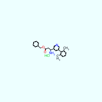 Cc1cccc(C)c1-c1cncc(C(N)CC(=O)OCc2ccccc2)c1.Cl